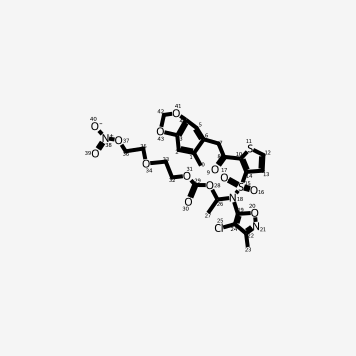 Cc1cc2c(cc1CC(=O)c1sccc1S(=O)(=O)N(c1onc(C)c1Cl)C(C)OC(=O)OCCOCCO[N+](=O)[O-])OCO2